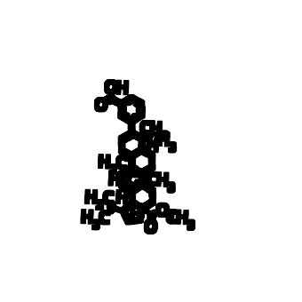 C=C(C)[C@@H]1CC[C@]2(C(=O)OC)CC[C@]3(C)[C@H](CCC4[C@@]5(C)CC=C(c6cccc(C(=O)O)c6)C(C)(C)[C@@H]5CC[C@]43C)[C@@H]12